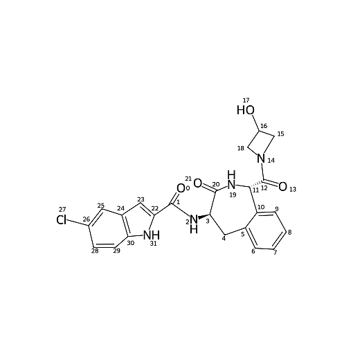 O=C(N[C@@H]1Cc2ccccc2[C@@H](C(=O)N2CC(O)C2)NC1=O)c1cc2cc(Cl)ccc2[nH]1